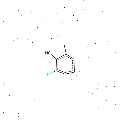 [CH2]c1cccc(F)c1C#N